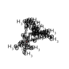 COc1ccc(C(OCC(OC(=O)CCC(C)=O)C(=O)N(CCCNC(=O)CCCCCCCO[C@@H]2OC(COC(C)=O)[C@H](OC(C)=O)[C@H](C)C2NC(C)=O)CCCN(CCCNC(=O)CCCCCCCO[C@@H]2OC(COC(C)=O)[C@H](OC(C)=O)[C@H](C)C2NC(C)=O)C(=O)CCCCCCCO[C@@H]2OC(COC(C)=O)[C@H](OC(C)=O)[C@H](C)C2NC(C)=O)(c2ccccc2)c2ccc(OC)cc2)cc1